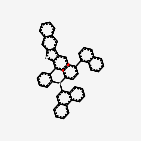 c1ccc(N(c2ccc(-c3cccc4ccccc34)cc2)c2cc3ccccc3c3ccccc23)c(-c2cccc3c2oc2cc4ccccc4cc23)c1